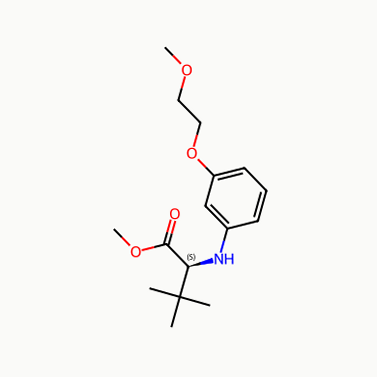 COCCOc1cccc(N[C@H](C(=O)OC)C(C)(C)C)c1